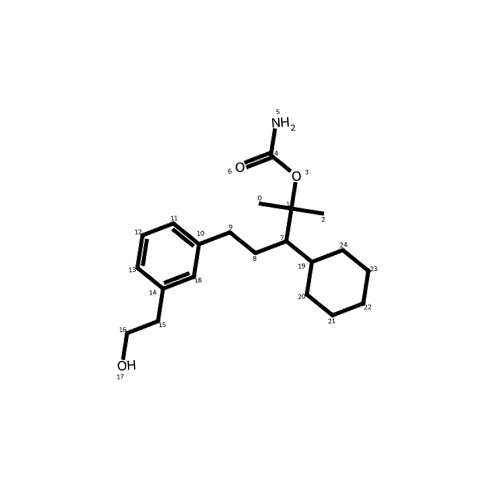 CC(C)(OC(N)=O)C(CCc1cccc(CCO)c1)C1CCCCC1